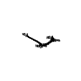 O=[C][C@H](CCC(=O)O)NC(=O)COCCOCCNC(=O)CC[C@H](NC(=O)CCCCCCCCCCCCCCCCC(=O)O)C(=O)O